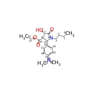 CCCCN1C(=O)C(O)C(C(=O)OCC)C1c1ccc(N(C)C)cc1